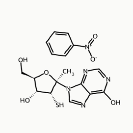 C[C@@]1(n2cnc3c(O)ncnc32)O[C@H](CO)[C@@H](O)[C@H]1S.O=[N+]([O-])c1ccccc1